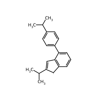 CC(C)C1=Cc2c(cccc2-c2ccc(C(C)C)cc2)[CH]1